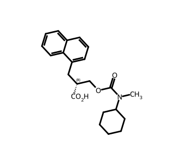 CN(C(=O)OC[C@@H](Cc1cccc2ccccc12)C(=O)O)C1CCCCC1